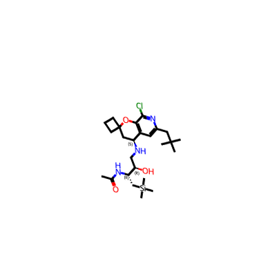 CC(=O)N[C@@H](C[Si](C)(C)C)[C@H](O)CN[C@H]1CC2(CCC2)Oc2c1cc(CC(C)(C)C)nc2Cl